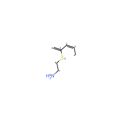 C=C(/C=C\C)SCCN